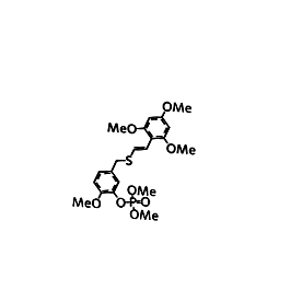 COc1cc(OC)c(C=CSCc2ccc(OC)c(OP(=O)(OC)OC)c2)c(OC)c1